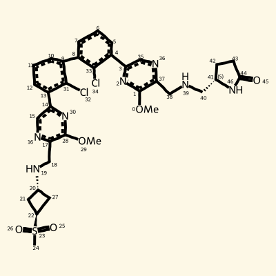 COc1nc(-c2cccc(-c3cccc(-c4cnc(CN[C@H]5C[C@H](S(C)(=O)=O)C5)c(OC)n4)c3Cl)c2Cl)cnc1CNC[C@@H]1CCC(=O)N1